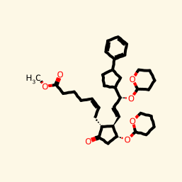 COC(=O)CCC/C=C\C[C@H]1C(=O)C[C@@H](OC2CCCCO2)[C@@H]1/C=C/[C@@H](OC1CCCCO1)C1CCC(c2ccccc2)C1